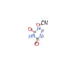 N#COn1cnc(=O)[nH]c1=O